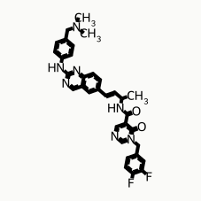 CC(/C=C/c1ccc2nc(Nc3ccc(CN(C)C)cc3)ncc2c1)NC(=O)c1cncn(Cc2ccc(F)c(F)c2)c1=O